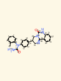 Cc1ccccc1N(C(N)=O)c1ccc(C2CN=C3c4ccccc4NC(=O)N3C2)cc1